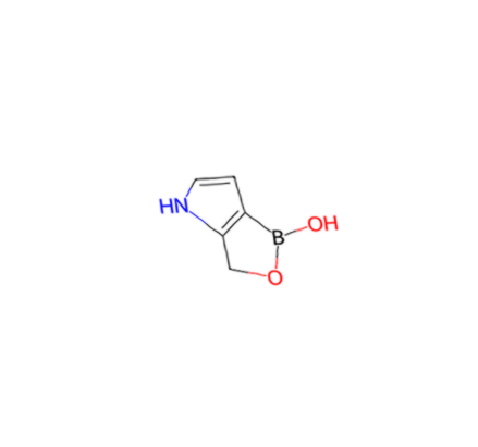 OB1OCc2[nH]ccc21